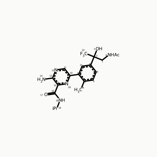 CC(=O)NCC(O)(c1ccc(C)c(-c2cnc(N)c(C(=O)NC(C)C)n2)c1)C(F)(F)F